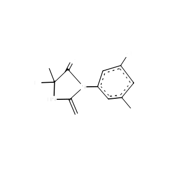 CCC1(CC)NC(=O)N(c2cc(Cl)cc(Cl)c2)C1=O